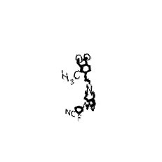 CC1=C2COC(=O)C2=CCC1CCN1CCc2c(cnn2-c2ccc(C#N)c(F)c2)C1